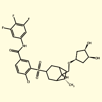 C[C@H]1CC2CC(S(=O)(=O)c3cc(C(=O)Nc4cc(F)c(F)c(F)c4)ccc3Cl)CC1[C@@]2(O)CO[C@H]1C[C@@H](O)[C@@H](O)C1